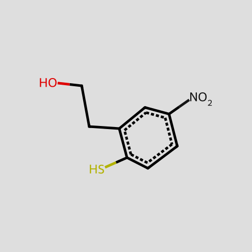 O=[N+]([O-])c1ccc(S)c(CCO)c1